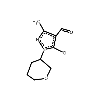 Cc1nn(C2CCCOC2)c(Cl)c1C=O